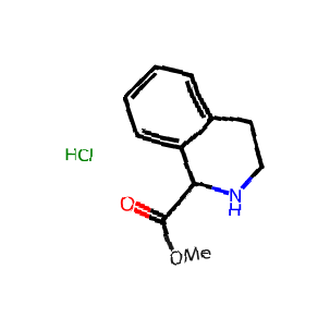 COC(=O)C1NCCc2ccccc21.Cl